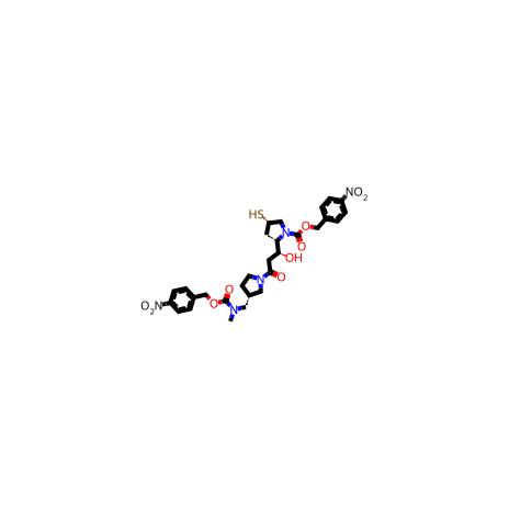 CN(C[C@@H]1CCN(C(=O)C[C@@H](O)[C@@H]2C[C@H](S)CN2C(=O)OCc2ccc([N+](=O)[O-])cc2)C1)C(=O)OCc1ccc([N+](=O)[O-])cc1